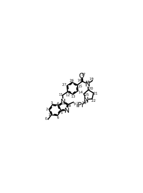 Cc1ccc2c(c1)nc(C)n2Cc1ccc(C(=O)N(C)C2CCN(C(C)C)C2)cc1